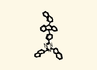 c1ccc2cc(-c3nc(-c4ccc(-c5c6ccccc6c(-c6ccc7ccccc7c6)c6ccccc56)cc4)nc(-c4ccc5ccccc5c4)n3)ccc2c1